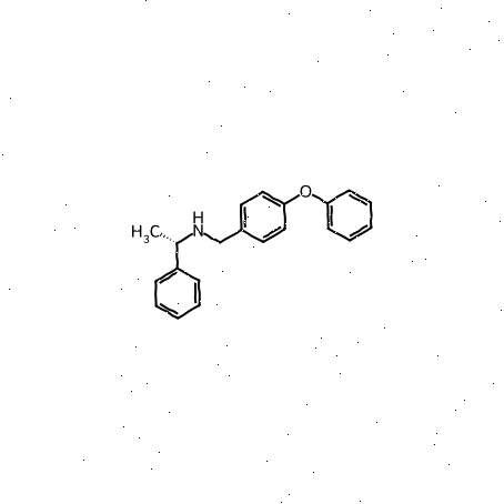 C[C@H](NCc1ccc(Oc2ccccc2)cc1)c1ccccc1